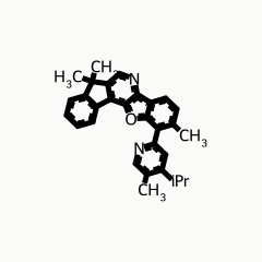 Cc1cnc(-c2c(C)ccc3c2oc2c4c(cnc23)C(C)(C)c2ccccc2-4)cc1C(C)C